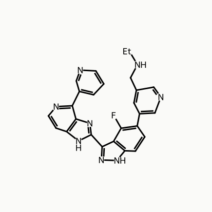 CCNCc1cncc(-c2ccc3[nH]nc(-c4nc5c(-c6cccnc6)nccc5[nH]4)c3c2F)c1